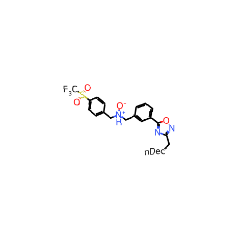 CCCCCCCCCCCc1noc(-c2cccc(C[NH+]([O-])Cc3ccc(S(=O)(=O)C(F)(F)F)cc3)c2)n1